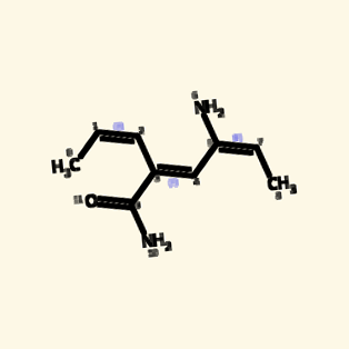 C\C=C/C(=C\C(N)=C/C)C(N)=O